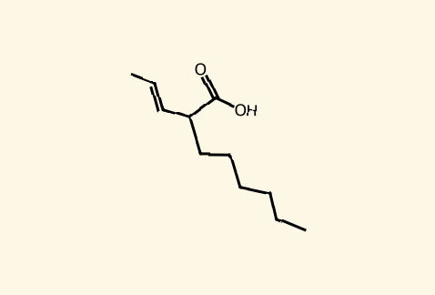 CC=CC(CCCCCC)C(=O)O